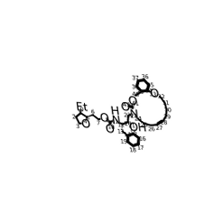 CC[C@@H]1CCO[C@@H]1CCOC(=O)N[C@@H](Cc1ccccc1)[C@H](O)CN1CCC/C=C\CCCCOc2ccccc2COC1=O